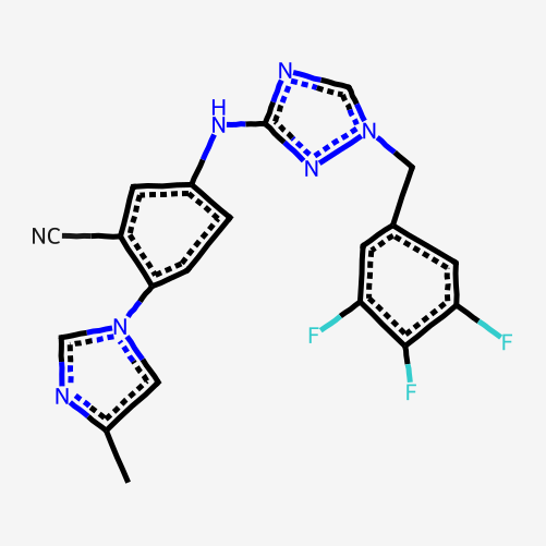 Cc1cn(-c2ccc(Nc3ncn(Cc4cc(F)c(F)c(F)c4)n3)cc2C#N)cn1